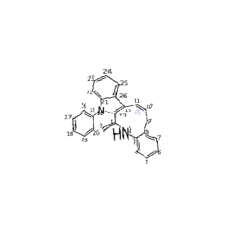 C=C1Nc2ccccc2C/C=C\c2c1n(-c1ccccc1)c1ccccc21